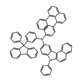 c1ccc(-c2cccc3cccc(-c4ccc(N(c5cccc(C6(c7ccccc7)c7ccccc7-c7ccccc76)c5)c5ccc6c(c5)c5c7ccccc7ccc5n6-c5ccccc5)cc4)c23)cc1